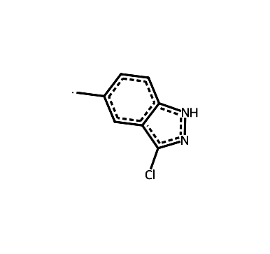 [CH2]c1ccc2[nH]nc(Cl)c2c1